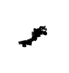 CCCn1c(OC2CCCC2)nc2nc(C34CCC(COc5ncc(C(=O)O)s5)(CC3)CC4)[nH]c2c1=O